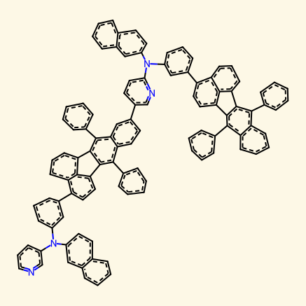 c1ccc(-c2c3c(c(-c4ccccc4)c4ccccc24)-c2ccc(-c4cccc(N(c5ccc6ccccc6c5)c5ccc(-c6ccc7c(-c8ccccc8)c8c(c(-c9ccccc9)c7c6)-c6cccc7c(-c9cccc(N(c%10cccnc%10)c%10ccc%11ccccc%11c%10)c9)ccc-8c67)cn5)c4)c4cccc-3c24)cc1